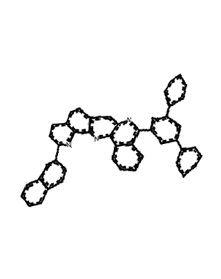 c1ccc(-c2cc(-c3ccccc3)cc(-c3nc4cc5ccc6ccc(-c7ccc8ccccc8c7)nc6c5nc4c4ccccc34)c2)cc1